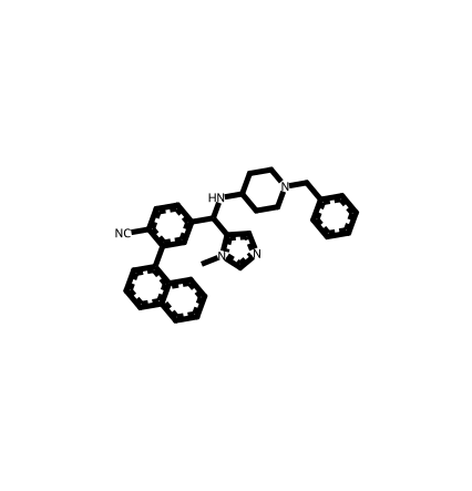 Cn1cncc1C(NC1CCN(Cc2ccccc2)CC1)c1ccc(C#N)c(-c2cccc3ccccc23)c1